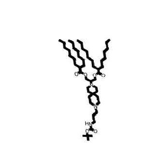 CCCCCCCC(CCCCCCC)C(=O)OCC(COC(=O)C(CCCCCCC)CCCCCCC)N1CCC2(CCN(CCCNC(=O)OC(C)(C)C)CC2)CC1